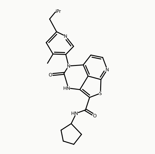 Cc1cc(CC(C)C)ncc1N1C(=O)Nc2c(C(=O)NC3CCCC3)sc3nccc1c23